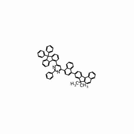 CC1(C)c2cc(-c3ccc(-c4cc(-c5cccc6c5-c5ccccc5C6(c5ccccc5)c5ccccc5)nc(-c5ccccc5)n4)c4ccccc34)ccc2-c2c1ccc1ccccc21